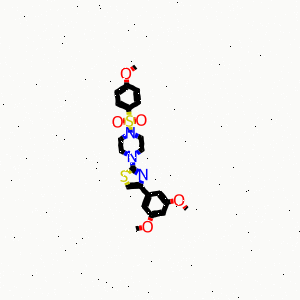 COc1ccc(S(=O)(=O)N2CCN(c3nc(-c4cc(OC)cc(OC)c4)cs3)CC2)cc1